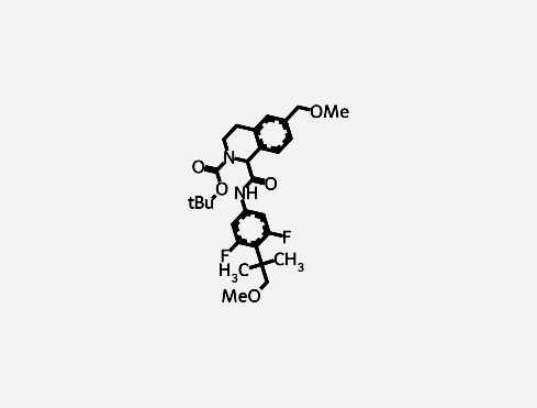 COCc1ccc2c(c1)CCN(C(=O)OC(C)(C)C)C2C(=O)Nc1cc(F)c(C(C)(C)COC)c(F)c1